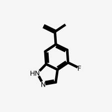 C=C(C)c1cc(F)c2cn[nH]c2c1